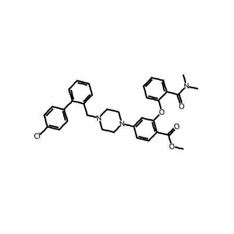 COC(=O)c1ccc(N2CCN(Cc3ccccc3-c3ccc(Cl)cc3)CC2)cc1Oc1ccccc1C(=O)N(C)C